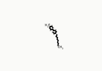 CCCCCCCCC[C@H]1CC[C@H]([C@H]2CC[C@H](C)CC2)CC1